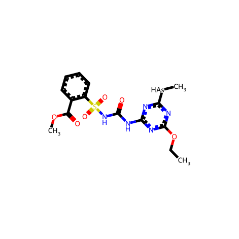 CCOc1nc(NC(=O)NS(=O)(=O)c2ccccc2C(=O)OC)nc([AsH]C)n1